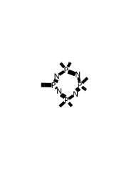 C=P1=N\P(C)(C)=NP(C)(C)=NP(C)(C)=N/1